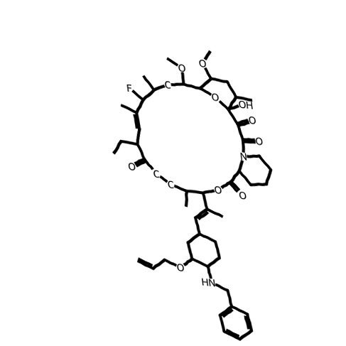 C=CCOC1CC(C=C(C)C2OC(=O)C3CCCCN3C(=O)C(=O)C3(O)OC(C(OC)CC(C)C(F)/C(C)=C/C(CC)C(=O)CCC2C)C(OC)CC3C)CCC1NCc1ccccc1